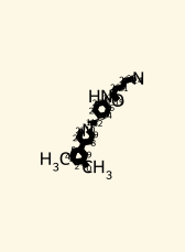 Cc1cc(C)cc(C2=CCN(CC[C@H]3CC[C@H](NC(=O)CCCC#N)CC3)CC2)c1